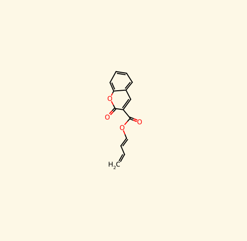 C=CC=COC(=O)c1cc2ccccc2oc1=O